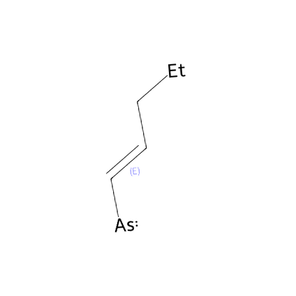 CCC/C=C/[As]